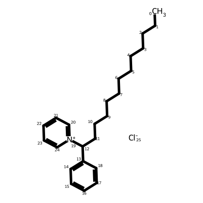 CCCCCCCCCCCCC(c1ccccc1)[n+]1ccccc1.[Cl-]